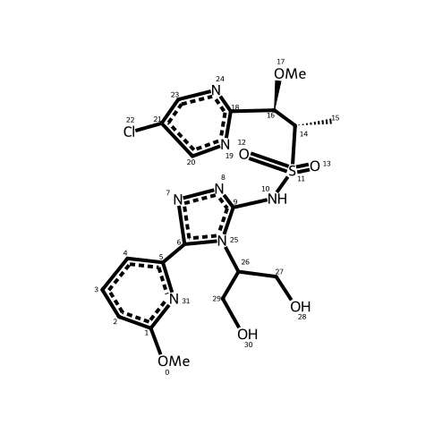 COc1cccc(-c2nnc(NS(=O)(=O)[C@@H](C)[C@H](OC)c3ncc(Cl)cn3)n2C(CO)CO)n1